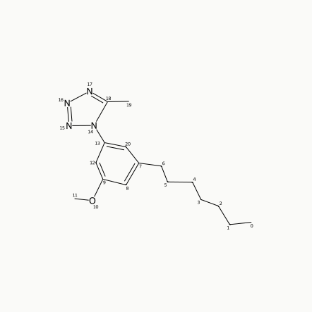 CCCCCCCc1cc(OC)cc(-n2nnnc2C)c1